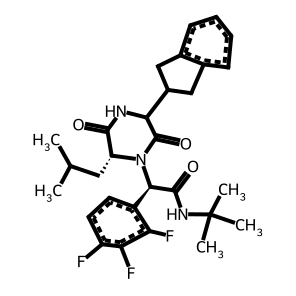 CC(C)C[C@@H]1C(=O)NC(C2Cc3ccccc3C2)C(=O)N1[C@@H](C(=O)NC(C)(C)C)c1ccc(F)c(F)c1F